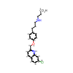 O=C(O)CCNCCCc1ccc(OCc2ccc3ccc(Cl)cc3n2)cc1